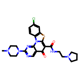 CN1CCN(c2ncc3c(=O)c(C(=O)NCCN4CCCC4)c4sc5cc(Cl)ccc5n4c3n2)CC1